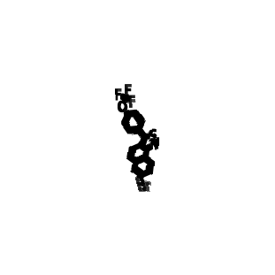 FC(F)(F)Oc1ccc(-c2snc3c2ccc2cc(Br)ccc23)cc1